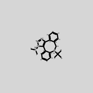 C[SH](C)n1nnc2c1-c1ccccc1N(C(C)(C)C)Cc1ccccc1-2